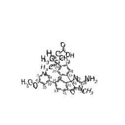 CC(=O)O.COc1cncc(-c2cccc(C3(c4ccc([Si](C)(C)C)cc4)N=C(N)N(C)C3=O)c2)c1